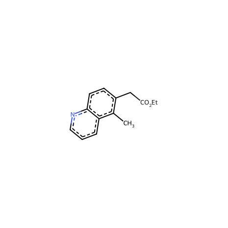 CCOC(=O)Cc1ccc2ncccc2c1C